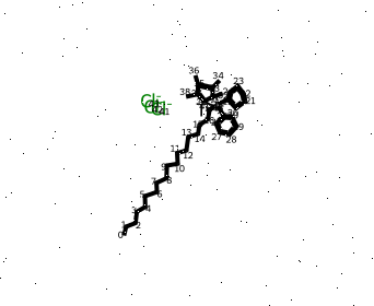 CCCCCCCCCCCCCCCCCC[Si](c1ccccc1)(c1ccccc1)C1(C)C(C)=C(C)C(C)=[C]1[Ti+3].[Cl-].[Cl-].[Cl-]